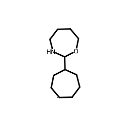 [CH]1CCCC(C2NCCCCO2)CC1